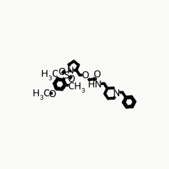 COc1cc(C)c(S(=O)(=O)N2CCCC2COCC(=O)NCC2CCCN(Cc3ccccc3)C2)c(C)c1